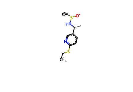 C[C@@H](N[S@+]([O-])C(C)(C)C)c1ccc(SCC(F)(F)F)nc1